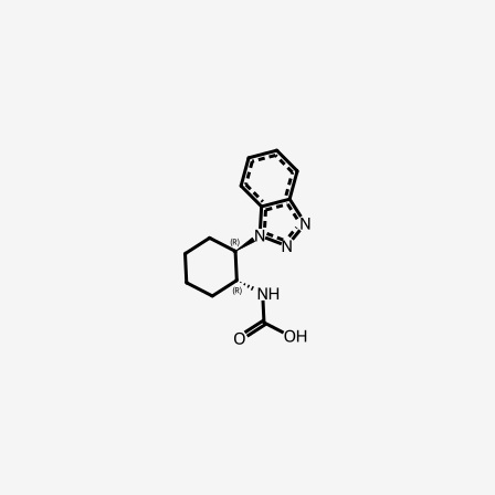 O=C(O)N[C@@H]1CCCC[C@H]1n1nnc2ccccc21